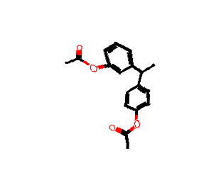 CC(=O)Oc1ccc(C(C)c2cccc(OC(C)=O)c2)cc1